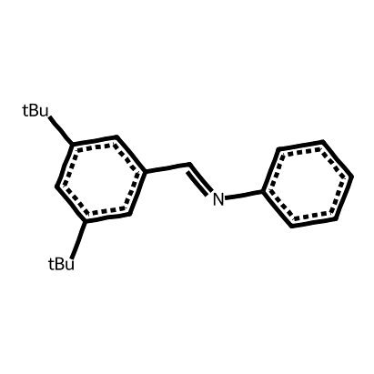 CC(C)(C)c1cc(C=Nc2ccccc2)cc(C(C)(C)C)c1